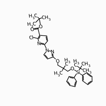 CC(C)(COc1ccn(-c2ccc(C(=O)OC(C)(C)C)c(Cl)n2)n1)CO[Si](c1ccccc1)(c1ccccc1)C(C)(C)C